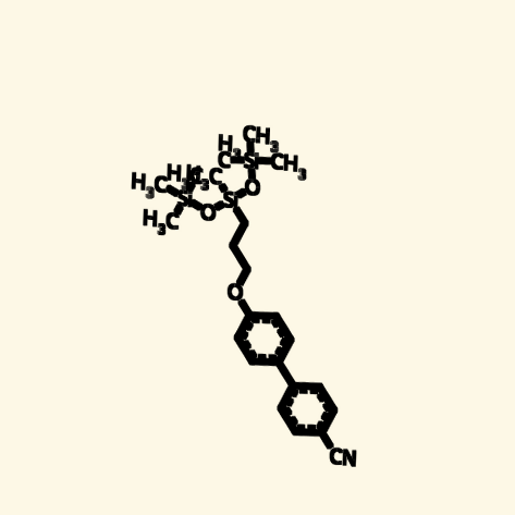 C[Si](C)(C)O[Si](C)(CCCOc1ccc(-c2ccc(C#N)cc2)cc1)O[Si](C)(C)C